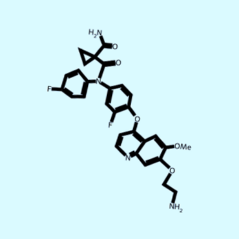 COc1cc2c(Oc3ccc(N(C(=O)C4(C(N)=O)CC4)c4ccc(F)cc4)cc3F)ccnc2cc1OCCN